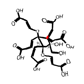 O=C(O)C=COC(C=CC(=O)O)(C=CC(=O)O)[C@](C=CC(=O)O)(OC=CC(=O)O)[C@@](O)(C=CC(=O)O)CO